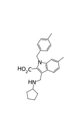 Cc1ccc(Cn2c(C(=O)O)c(CNC3CCCC3)c3ccc(C)cc32)cc1